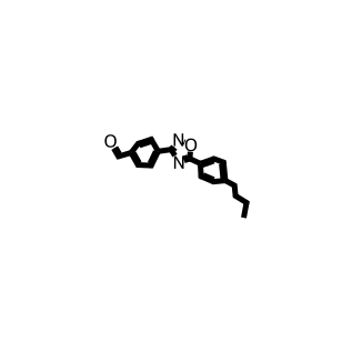 CCCCc1ccc(-c2nc(-c3ccc(C=O)cc3)no2)cc1